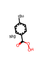 CC(C)(C)c1ccc(C(=O)OO)cc1.[Mg]